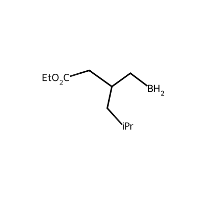 BCC(CC(=O)OCC)CC(C)C